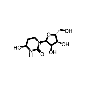 O=C1NC(O)CCN1C1O[C@H](CO)[C@@H](O)[C@H]1O